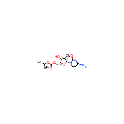 CCCC(CCC)OC(=O)OC[C@H]1OC(n2ccc(N)nc2=O)[C@@H](C#N)[C@@H]1O